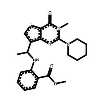 COC(=O)c1ccccc1NC(C)c1csc2c(=O)n(C)c(N3CCCCC3)nc12